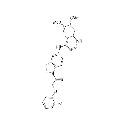 COC1=CC2=C(Nc3ccc4c(c3)CCN4C(=O)COc3ccccc3C(C)=O)N=CNC2C=C1OC